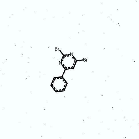 Brc1cc(-c2ccccc2)nc(Br)n1